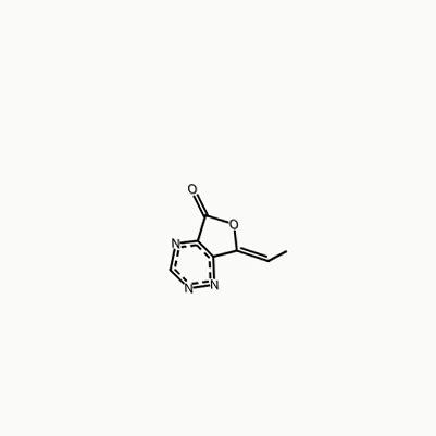 CC=C1OC(=O)c2ncnnc21